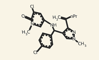 C=C(CCC)c1nn(C)cc1C(Nc1cc(Cl)c(=O)n(C)c1)c1ccc(Cl)cc1